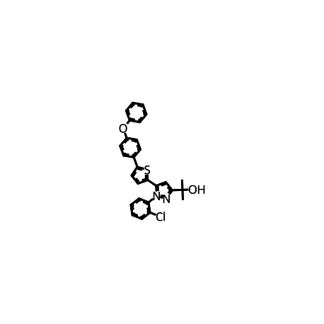 CC(C)(O)c1cc(-c2ccc(-c3ccc(Oc4ccccc4)cc3)s2)n(-c2ccccc2Cl)n1